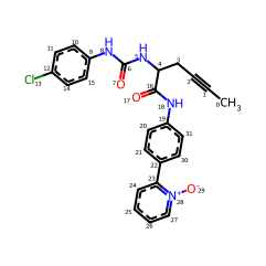 CC#CCC(NC(=O)Nc1ccc(Cl)cc1)C(=O)Nc1ccc(-c2cccc[n+]2[O-])cc1